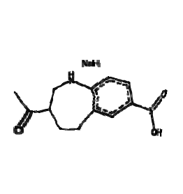 CC(=O)C1CCc2cc(S(=O)O)ccc2NC1.[NaH]